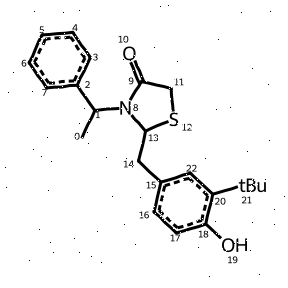 CC(c1ccccc1)N1C(=O)CSC1Cc1ccc(O)c(C(C)(C)C)c1